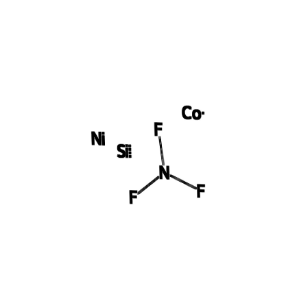 FN(F)F.[Co].[Ni].[Si]